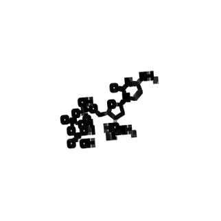 CCN.Nc1ccn([C@H]2C[C@H](O)[C@@H](COP(=O)(O)OP(=O)(O)OP(=O)(O)O)O2)c(=O)n1